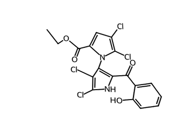 CCOC(=O)c1cc(Cl)c(Cl)n1-c1c(C(=O)c2ccccc2O)[nH]c(Cl)c1Cl